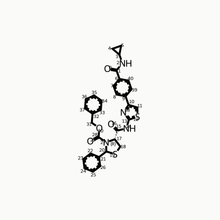 O=C(NC1CC1)c1ccc(-c2csc(NC(=O)[C@@H]3CSC(c4ccccc4)N3C(=O)OCc3ccccc3)n2)cc1